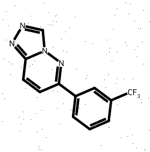 FC(F)(F)c1cccc(-c2ccc3nncn3n2)c1